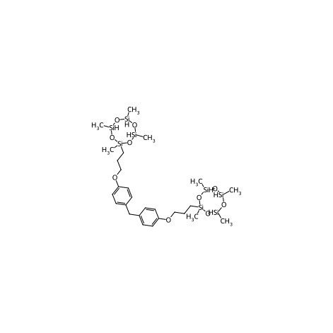 C[SiH]1O[SiH](C)O[Si](C)(CCCOc2ccc(Cc3ccc(OCCC[Si]4(C)O[SiH](C)O[SiH](C)O[SiH](C)O4)cc3)cc2)O[SiH](C)O1